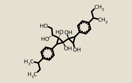 CCC(C)c1ccc(C2C(O)[C@]2(O)[C@]2(O)C(c3ccc(C(C)CC)cc3)[C@@]2(O)[C@H](O)CO)cc1